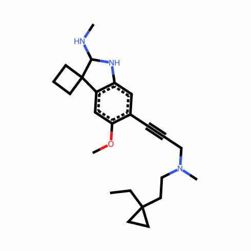 CCC1(CCN(C)CC#Cc2cc3c(cc2OC)C2(CCC2)C(NC)N3)CC1